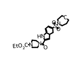 CCOC(=O)N1CCN(C(=O)C2=CC3CC(S(=O)(=O)N4CCCCCC4)=CC=C3N2)CC1